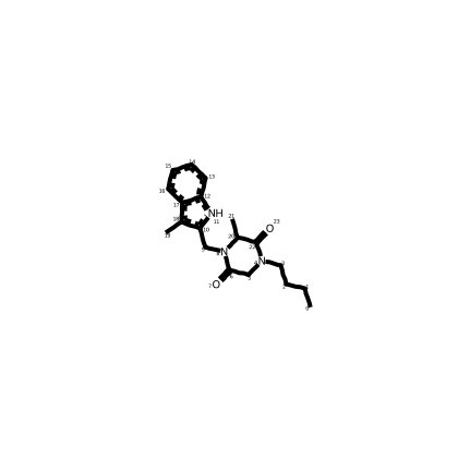 CCCCN1CC(=O)N(Cc2[nH]c3ccccc3c2C)C(C)C1=O